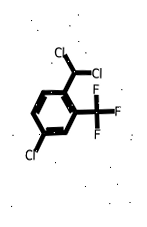 FC(F)(F)c1cc(Cl)ccc1C(Cl)Cl